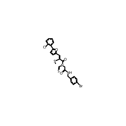 CS/C(=C\c1ccc(-c2ccccc2Cl)o1)C(=O)N(C=S)CC(=O)NCc1ccc(Br)cc1